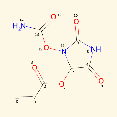 C=CC(=O)OC1C(=O)NC(=O)N1OC(N)=O